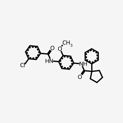 COc1cc(NC(=O)C2(c3ccccc3)CCCC2)ccc1NC(=O)c1cccc(Cl)c1